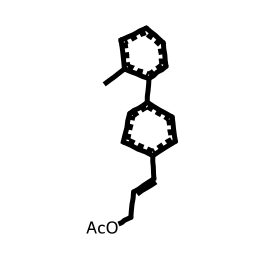 CC(=O)OC/C=C/c1ccc(-c2ccccc2C)cc1